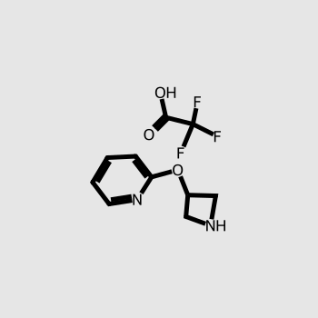 O=C(O)C(F)(F)F.c1ccc(OC2CNC2)nc1